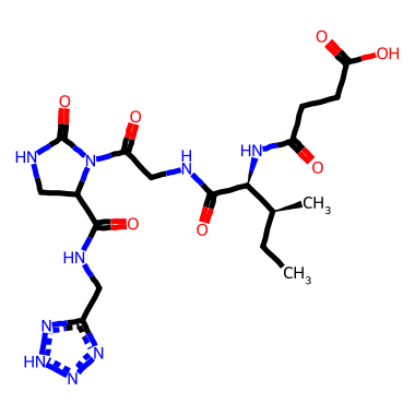 CC[C@H](C)[C@H](NC(=O)CCC(=O)O)C(=O)NCC(=O)N1C(=O)NCC1C(=O)NCc1nn[nH]n1